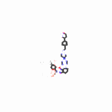 CCOc1cc([C@@H](CS(C)(=O)=O)N2C(=O)c3cccc(N4CCN(C5CCN(CCc6ccc(C7CCC(=O)NC7=O)cc6)CC5)CC4)c3C2=O)ccc1OC